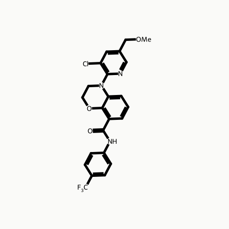 COCc1cnc(N2CCOc3c(C(=O)Nc4ccc(C(F)(F)F)cc4)cccc32)c(Cl)c1